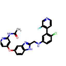 CC(=O)Nc1cc(Oc2ccc3[nH]c(CNc4ccc(Cl)c(-c5ccncc5F)c4)nc3c2)ccn1